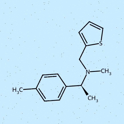 Cc1ccc([C@H](C)N(C)Cc2cccs2)cc1